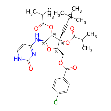 CC(C)C(=O)O[C@H]1[C@H](Nc2cc[nH]c(=O)n2)O[C@H](COC(=O)c2ccc(Cl)cc2)[C@@]1(C#C[Si](C)(C)C)OC(=O)C(C)C